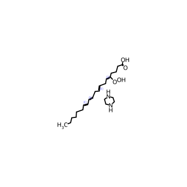 C1CNCCN1.CCCCCC/C=C/C=C/C/C=C/C/C=C(/CCCC(=O)O)OO